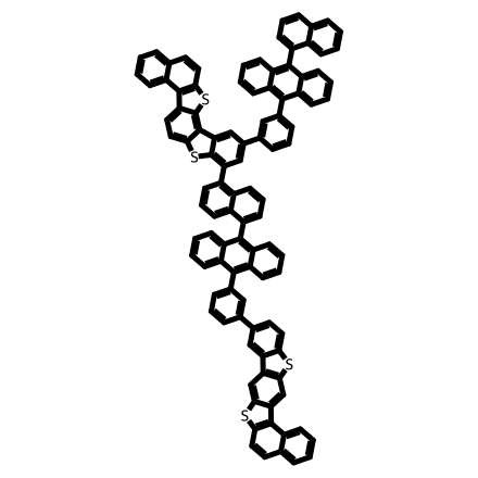 c1cc(-c2cc(-c3cccc4c(-c5c6ccccc6c(-c6cccc(-c7ccc8sc9cc%10c(cc9c8c7)sc7ccc8ccccc8c7%10)c6)c6ccccc56)cccc34)c3sc4ccc5c(sc6ccc7ccccc7c65)c4c3c2)cc(-c2c3ccccc3c(-c3cccc4ccccc34)c3ccccc23)c1